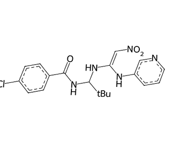 CC(C)(C)C(NC(=O)c1ccc(Cl)cc1)NC(=C[N+](=O)[O-])Nc1cccnc1